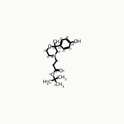 CC(C)(C)OC(=O)CCN1CCOC(C)(c2ccc(O)cc2)C1